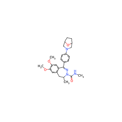 CNC(=O)N1N=C(c2ccc(N3CC4CCC(C3)O4)cc2)c2cc(OC)c(OC)cc2CC1C